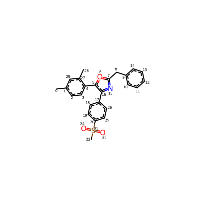 Cc1ccc(-c2oc(Cc3ccccc3)nc2-c2ccc(S(C)(=O)=O)cc2)c(C)c1